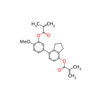 C=C(C)C(=O)Oc1cc(-c2ccc(OC(=O)C(=C)C)c3c2CCC3)ccc1OC